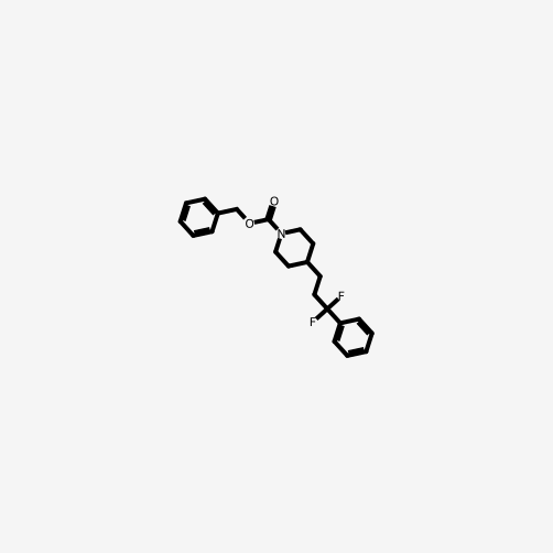 O=C(OCc1ccccc1)N1CCC(CCC(F)(F)c2ccccc2)CC1